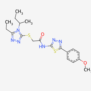 CCc1nnc(SCC(=O)Nc2nnc(-c3ccc(OC)cc3)s2)n1C(C)CC